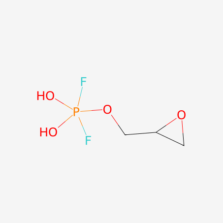 OP(O)(F)(F)OCC1CO1